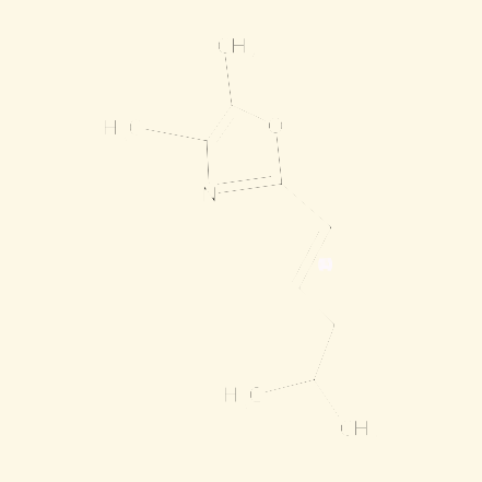 Cc1nc(/C=C/CC(C)C)oc1C